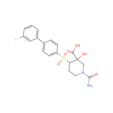 NC(=O)N1CCC(S(=O)(=O)c2ccc(-c3cccc(F)c3)cc2)C(O)(C(=O)O)C1